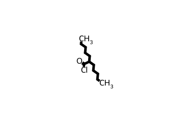 CCCCCC(CCCCC)C(=O)Cl